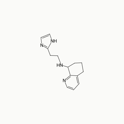 c1cnc2c(c1)CCCC2NCCc1ncc[nH]1